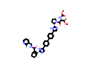 COC(=O)N[C@H](C(=O)N1CCC[C@H]1c1ncc(-c2ccc(-c3ccc(-c4cnc([C@@H]5C6CCC(C6)C5C(=O)NCc5cccnc5F)[nH]4)cc3)cc2)[nH]1)[C@@H](C)OC